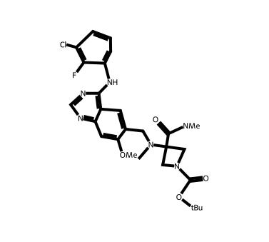 CNC(=O)C1(N(C)Cc2cc3c(Nc4cccc(Cl)c4F)ncnc3cc2OC)CN(C(=O)OC(C)(C)C)C1